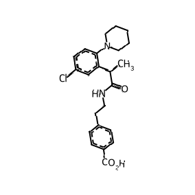 CC(C(=O)NCCc1ccc(C(=O)O)cc1)c1cc(Cl)ccc1N1CCCCC1